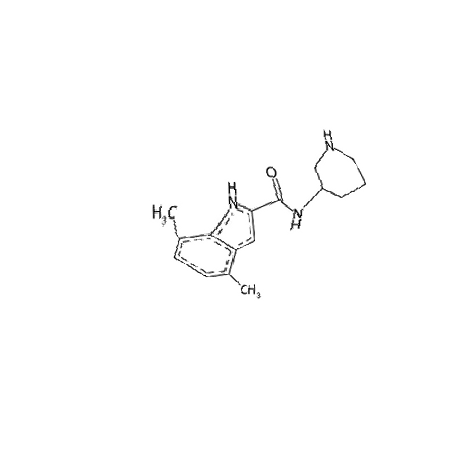 Cc1ccc(C)c2[nH]c(C(=O)NC3CCCNC3)cc12